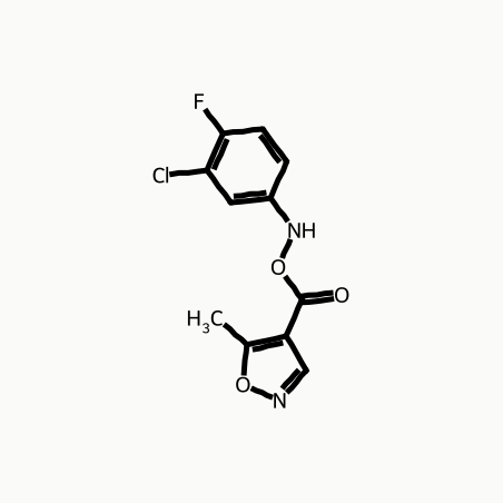 Cc1oncc1C(=O)ONc1ccc(F)c(Cl)c1